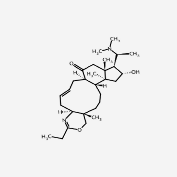 CCC1=N[C@H]2C/C=C/C[C@H]3C(=O)C[C@]4(C)[C@@H]([C@H](C)N(C)C)[C@H](O)C[C@@]4(C)[C@@H]3CCC[C@]2(C)CO1